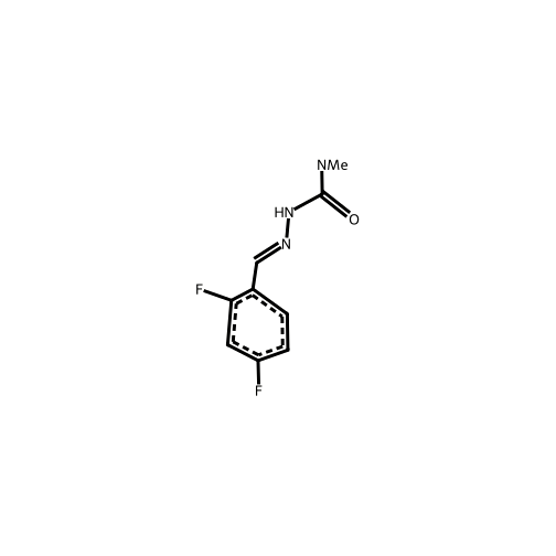 CNC(=O)N/N=C/c1ccc(F)cc1F